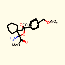 COC(=O)C(N)(OC(=O)c1ccc(CO[N+](=O)[O-])cc1)C1(CC(=O)O)CCCCC1